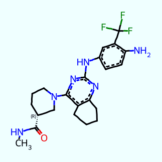 CNC(=O)[C@@H]1CCCN(c2nc(Nc3ccc(N)c(C(F)(F)F)c3)nc3c2CCCC3)C1